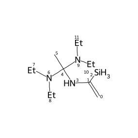 C=C([SiH3])NC(C)(N(CC)CC)N(CC)CC